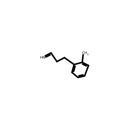 Cc1ccccc1CCC=N